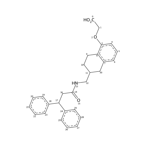 O=C(O)COc1cccc2c1CCC(CNC(=O)CC(c1ccccc1)c1ccccc1)C2